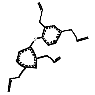 C=CCc1ccc(Sc2ccc(CC=C)cc2CC=C)c(CC=C)c1